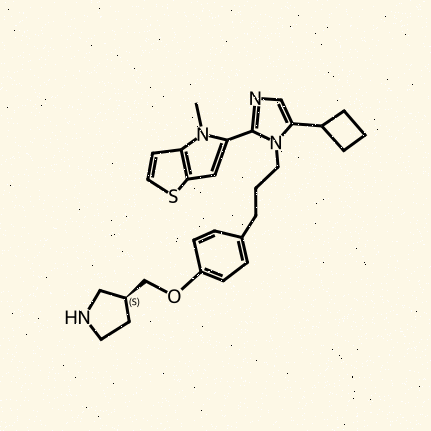 Cn1c(-c2ncc(C3CCC3)n2CCCc2ccc(OC[C@H]3CCNC3)cc2)cc2sccc21